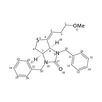 COCC/C=C1/SC[C@H]2[C@@H]1N(Cc1ccccc1)C(=O)N2Cc1ccccc1